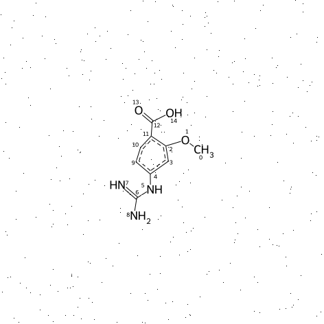 COc1cc(NC(=N)N)ccc1C(=O)O